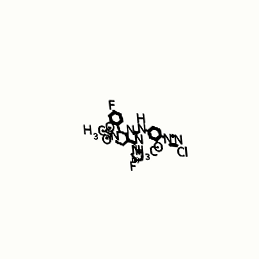 COc1cc(Nc2nc3c(c(N4CC[C@@H](F)C4)n2)CCN(S(C)(=O)=O)C3c2ccc(F)cc2)ccc1-n1cnc(Cl)c1